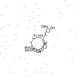 CC[C@@H]1/C=C(\C)C[C@H](C)C[C@H](OC)[C@H]2O[C@@](O)(C(=O)C(=O)N3CCCC[C@H]3C(=O)O[C@H]([C@@H](C)[C@H](O)/C(C)=C/[C@@H]3CC[C@@H](O)[C@H](OC)C3)C[C@H]1C)[C@H](C)C[C@@H]2OC